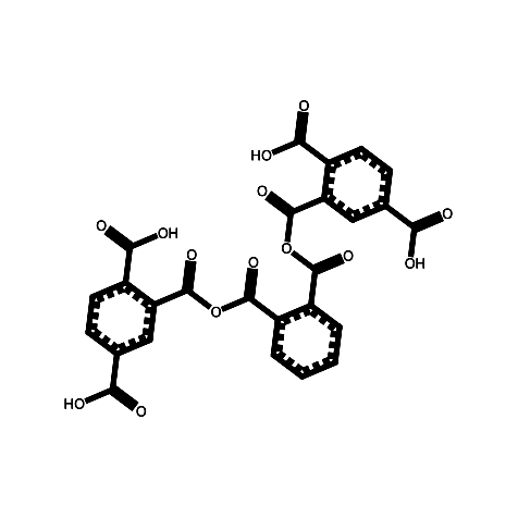 O=C(O)c1ccc(C(=O)O)c(C(=O)OC(=O)c2ccccc2C(=O)OC(=O)c2cc(C(=O)O)ccc2C(=O)O)c1